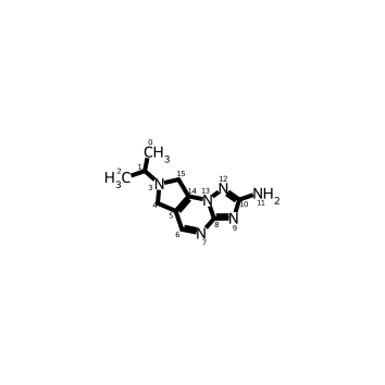 CC(C)N1Cc2cnc3nc(N)nn3c2C1